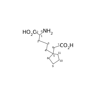 NC(CCCC1(CC(=O)O)CCCC1)C(=O)O